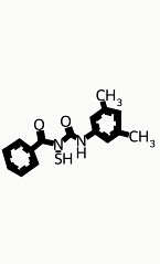 Cc1cc(C)cc(NC(=O)N(S)C(=O)c2ccccc2)c1